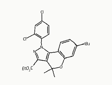 CCOC(=O)c1nn(-c2ccc(Cl)cc2Cl)c2c1C(C)(C)Oc1cc(C(C)(C)C)ccc1-2